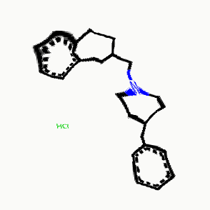 Cl.c1ccc(C2CCN(CC3CCc4ccccc4C3)CC2)cc1